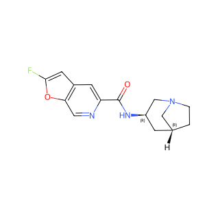 O=C(N[C@@H]1C[C@H]2CCN(C2)C1)c1cc2cc(F)oc2cn1